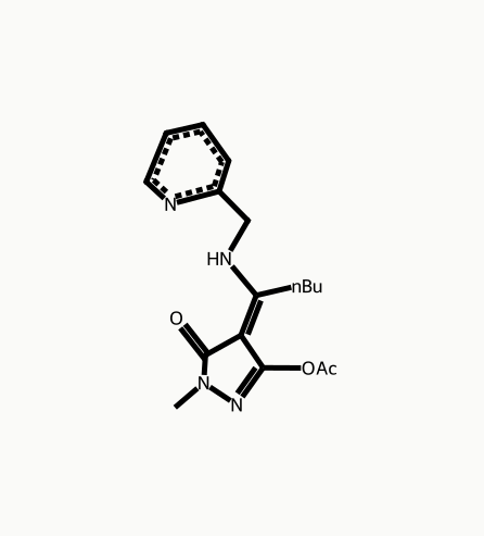 CCCC/C(NCc1ccccn1)=C1/C(=O)N(C)N=C1OC(C)=O